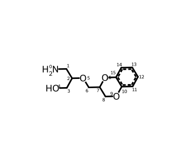 NCC(CO)OCC1COc2ccccc2O1